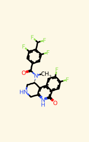 CN(C(=O)c1cc(F)c(C(F)F)c(F)c1)[C@H]1CNCc2[nH]c(=O)c3cc(F)c(F)cc3c21